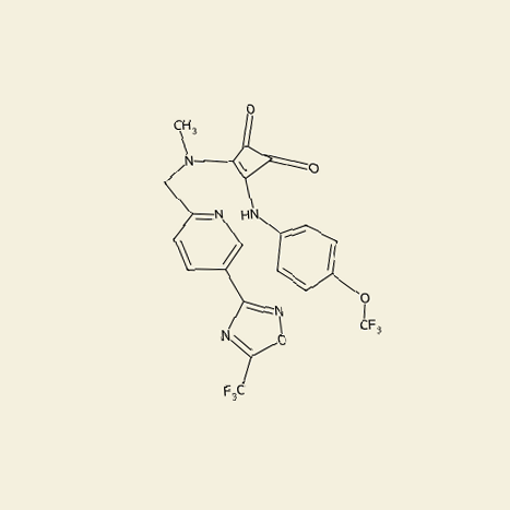 CN(Cc1ccc(-c2noc(C(F)(F)F)n2)cn1)c1c(Nc2ccc(OC(F)(F)F)cc2)c(=O)c1=O